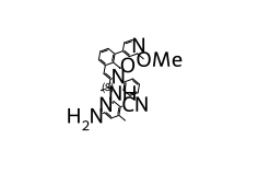 COc1cc(-c2cccc3cc([C@H](C)Nc4nc(N)cc(C)c4C#N)n(-c4ccccc4)c(=O)c23)ccn1